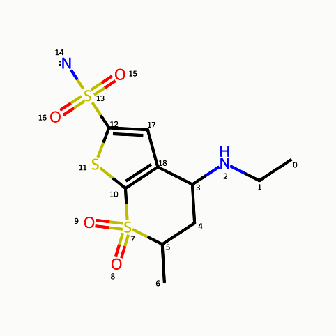 CCNC1CC(C)S(=O)(=O)c2sc(S([N])(=O)=O)cc21